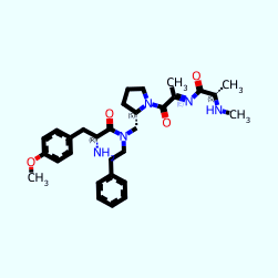 CN[C@@H](C)C(=O)/N=C(\C)C(=O)N1CCC[C@H]1CN(CCc1ccccc1)C(=O)[C@H](N)Cc1ccc(OC)cc1